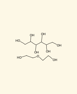 OCC(O)C(O)C(O)C(O)CO.OCCOCCO